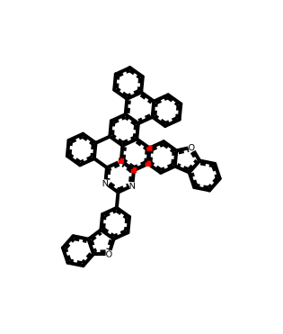 c1ccc(-c2cc3c4ccccc4c4ccccc4c3c3ccccc23)c(-c2nc(-c3ccc4oc5ccccc5c4c3)nc(-c3ccc4oc5ccccc5c4c3)n2)c1